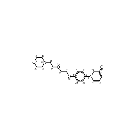 OC1=CC=CN(c2ccc(OCCOCCN3CCOCC3)cc2)C1